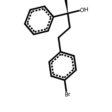 [CH2][C@@](O)(CCc1ccc(Br)cc1)c1ccccc1